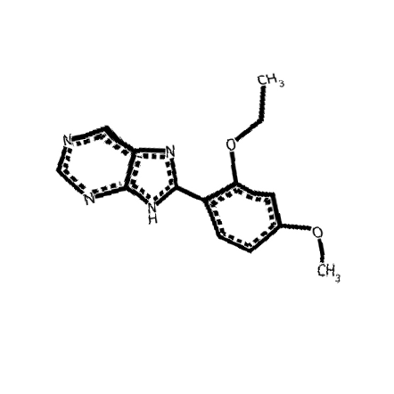 CCOc1cc(OC)ccc1-c1nc2cncnc2[nH]1